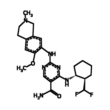 COc1cc2c(cc1Nc1ncc(C(N)=O)c(N[C@@H]3CCCC[C@H]3C(F)F)n1)CN(C)CC2